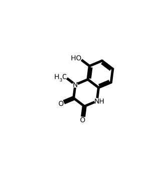 Cn1c(=O)c(=O)[nH]c2cccc(O)c21